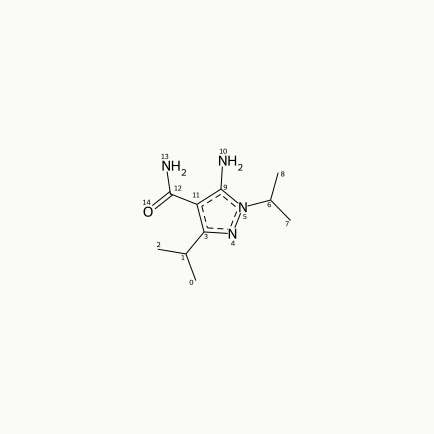 CC(C)c1nn(C(C)C)c(N)c1C(N)=O